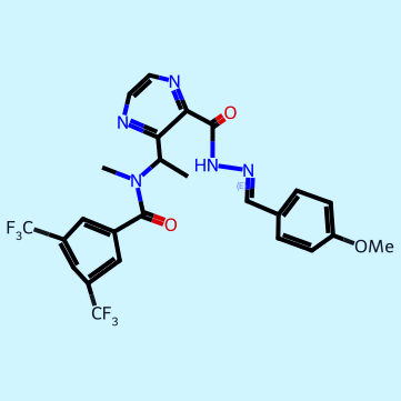 COc1ccc(/C=N/NC(=O)c2nccnc2C(C)N(C)C(=O)c2cc(C(F)(F)F)cc(C(F)(F)F)c2)cc1